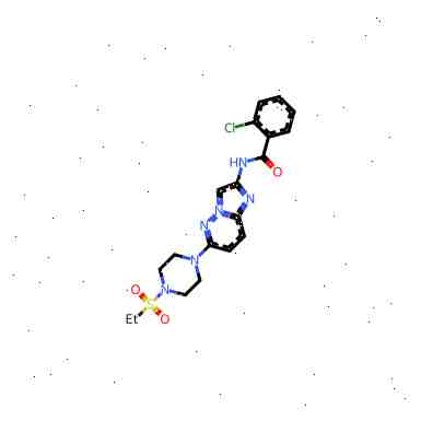 CCS(=O)(=O)N1CCN(c2ccc3nc(NC(=O)c4ccccc4Cl)cn3n2)CC1